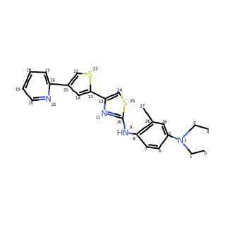 CCN(CC)c1ccc(Nc2nc(-c3cc(-c4ccccn4)cs3)cs2)c(C)c1